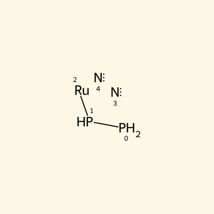 P[PH][Ru].[N].[N]